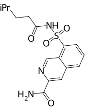 CC(C)CCC(=O)NS(=O)(=O)c1cccc2cc(C(N)=O)ncc12